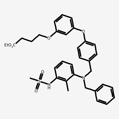 CCOC(=O)CCCOc1cccc(Oc2ccc(CN(Cc3ccccc3)c3cccc(NS(C)(=O)=O)c3C)cc2)c1